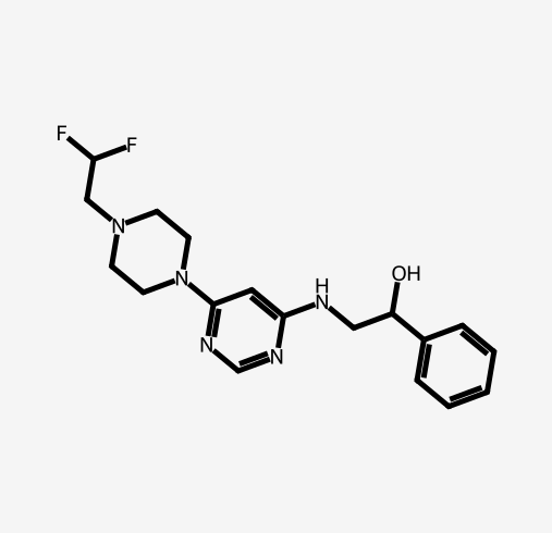 OC(CNc1cc(N2CCN(CC(F)F)CC2)ncn1)c1ccccc1